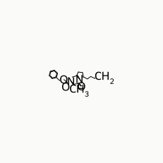 C=CCCC1CCC2CN(C(=O)OCc3ccccc3)C(C)C(=O)N12